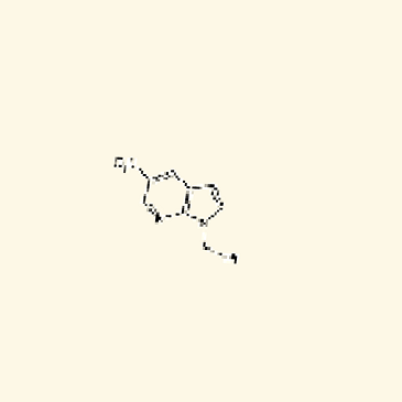 CC(C)Cn1ccc2cc([N+](=O)[O-])cnc21